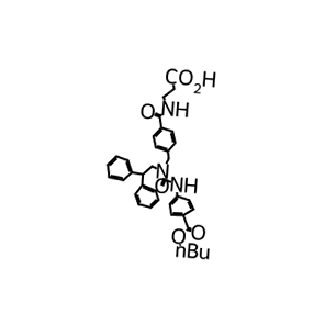 CCCCOC(=O)c1ccc(NC(=O)N(Cc2ccc(C(=O)NCCC(=O)O)cc2)CC(c2ccccc2)c2ccccc2)cc1